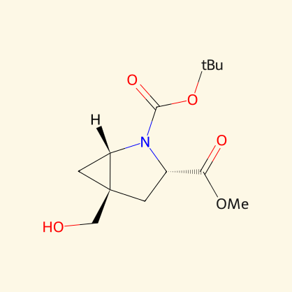 COC(=O)[C@@H]1C[C@]2(CO)C[C@@H]2N1C(=O)OC(C)(C)C